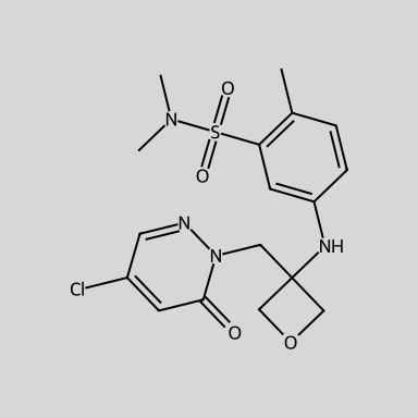 Cc1ccc(NC2(Cn3ncc(Cl)cc3=O)COC2)cc1S(=O)(=O)N(C)C